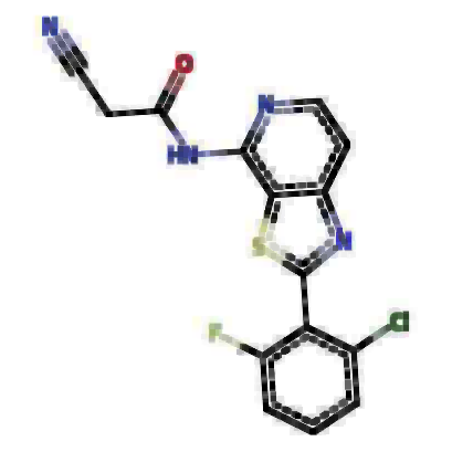 N#CCC(=O)Nc1nccc2nc(-c3c(F)cccc3Cl)sc12